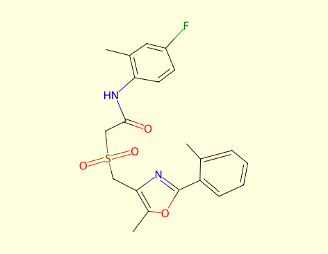 Cc1cc(F)ccc1NC(=O)CS(=O)(=O)Cc1nc(-c2ccccc2C)oc1C